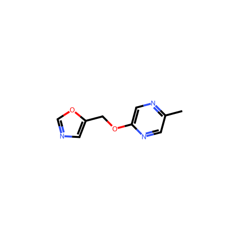 Cc1cnc(OCc2cnco2)cn1